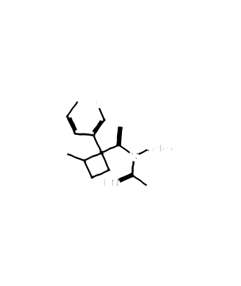 C=C(N(CCCCCC)C(C)=N)C1(C(/C=C\C)=C/CC)CCC1C